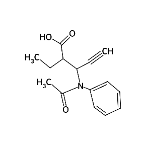 C#CC(C(CC)C(=O)O)N(C(C)=O)c1ccccc1